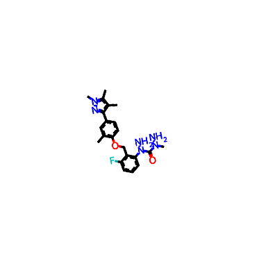 Cc1cc(-c2nn(C)c(C)c2C)ccc1OCc1c(F)cccc1N(N)C(=O)N(C)N